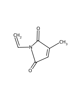 C=CN1C(=O)C=C(C)C1=O